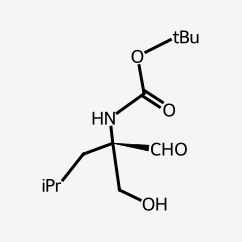 CC(C)C[C@@](C=O)(CO)NC(=O)OC(C)(C)C